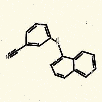 N#Cc1cccc(Nc2cccc3ccccc23)c1